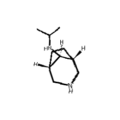 CC(C)N[C@H]1[C@@H]2CC[C@H]1CNC2